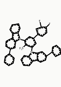 Fc1ccc(-c2cc(-n3c4ccccc4c4ccc(-c5ccccc5)cc43)c(C(F)(F)F)c(-n3c4ccccc4c4ccc(-c5ccccc5)cc43)c2)cc1F